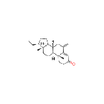 C=C1C[C@H]2[C@@H]3CC[C@H](CC)[C@@]3(C)CC[C@@H]2[C@@]2(C)CCC(=O)C=C12